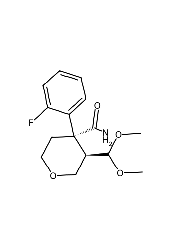 COC(OC)[C@H]1COCC[C@@]1(C(N)=O)c1ccccc1F